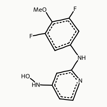 COc1c(F)cc(Nc2cc(NO)ccn2)cc1F